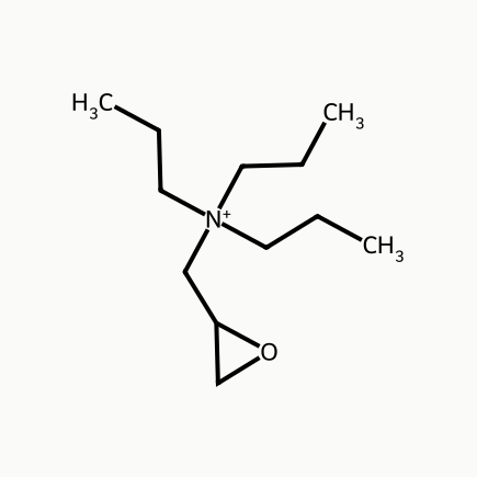 CCC[N+](CCC)(CCC)CC1CO1